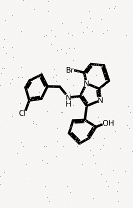 Oc1ccccc1-c1nc2cccc(Br)n2c1NCc1cccc(Cl)c1